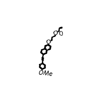 C=CC(=O)OCCCOc1ccc2cc(C#Cc3ccc(OC)cc3)ccc2c1